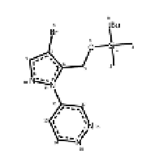 CC(C)(C)[Si](C)(C)OCc1c(Br)cnn1-c1ccnnc1